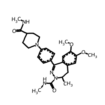 CNC(=O)C1CCN(c2ccc(C3=NN(C(=O)NC)C(C)Cc4cc(OC)c(OC)cc43)cc2)CC1